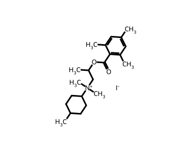 Cc1cc(C)c(C(=O)OC(C)C[N+](C)(C)C2CCC(C)CC2)c(C)c1.[I-]